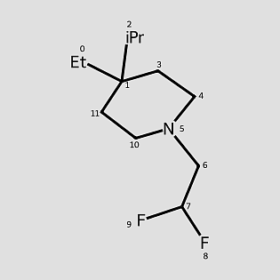 CCC1(C(C)C)CCN(CC(F)F)CC1